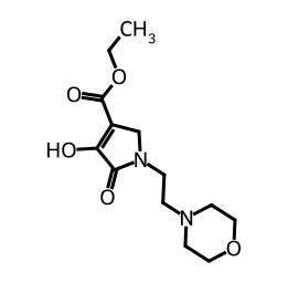 CCOC(=O)C1=C(O)C(=O)N(CCN2CCOCC2)C1